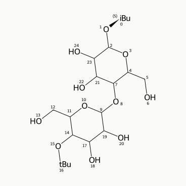 CC[C@H](C)OC1OC(CO)C(OC2OC(CO)C(OC(C)(C)C)C(O)C2O)C(O)C1O